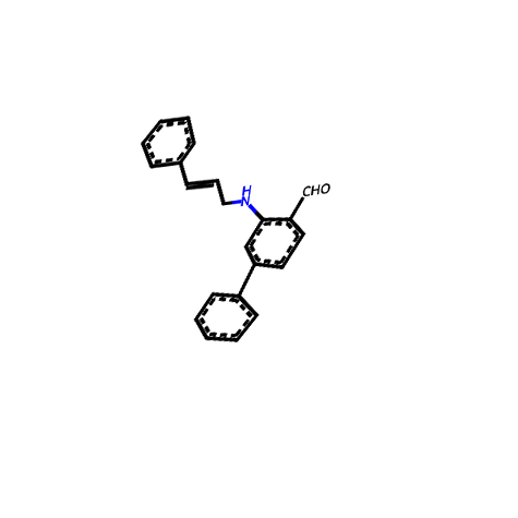 O=Cc1ccc(-c2ccccc2)cc1NC/C=C/c1ccccc1